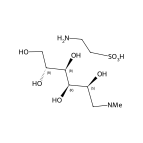 CNC[C@H](O)[C@@H](O)[C@H](O)[C@H](O)CO.NCCS(=O)(=O)O